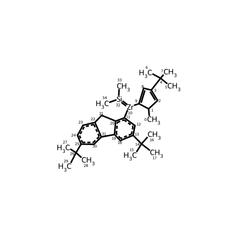 CC1C=C(C(C)(C)C)C=[C]1[Zr]([c]1cc(C(C)(C)C)cc2c1Cc1ccc(C(C)(C)C)cc1-2)=[Si](C)C